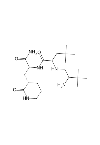 CC(C)(C)CC(NCC(N)C(C)(C)C)C(=O)NC(C[C@@H]1CCCNC1=O)C(N)=O